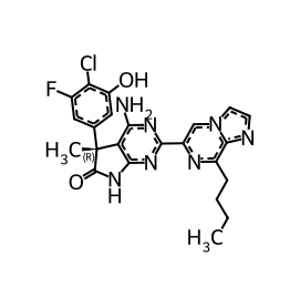 CCCCc1nc(-c2nc(N)c3c(n2)NC(=O)[C@]3(C)c2cc(O)c(Cl)c(F)c2)cn2ccnc12